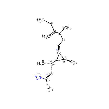 C=C(CC)C(C)C/C=C1/C([C@@H](C)/C=C(/C)N)[C@@H]1C